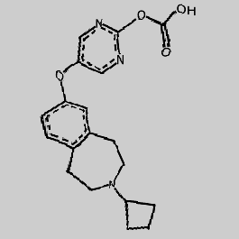 O=C(O)Oc1ncc(Oc2ccc3c(c2)CCN(C2CCC2)CC3)cn1